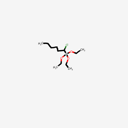 CCCCCC(Cl)[Si](OCC)(OCC)OCC